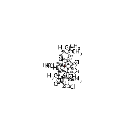 Cl.Cl.[CH2]=[Zr]([C]1=CC=CC1)([c]1cc(Cl)cc(Cl)c1C)([c]1cc(Cl)cc(Cl)c1C)[c]1c(C(C)(C)C)ccc2c1Cc1cc(C(C)(C)C)ccc1-2